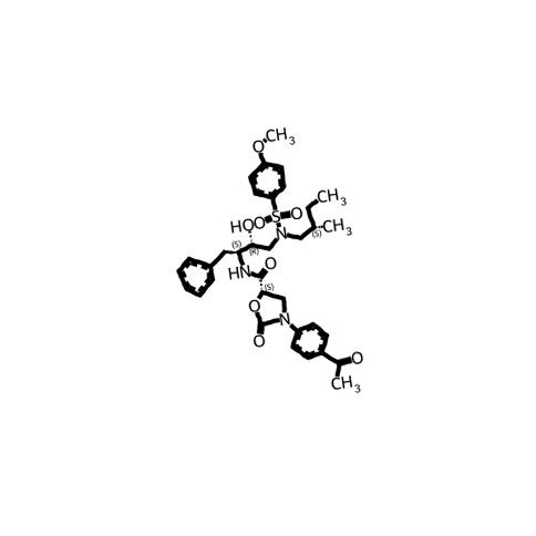 CC[C@H](C)CN(C[C@@H](O)[C@H](Cc1ccccc1)NC(=O)[C@@H]1CN(c2ccc(C(C)=O)cc2)C(=O)O1)S(=O)(=O)c1ccc(OC)cc1